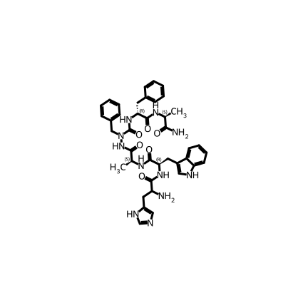 C[C@H](NC(=O)[C@@H](Cc1ccccc1)NC(=O)N(Cc1ccccc1)NC(=O)[C@H](C)NC(=O)[C@@H](Cc1c[nH]c2ccccc12)NC(=O)C(N)Cc1cnc[nH]1)C(N)=O